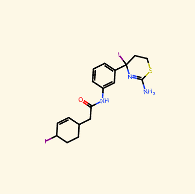 NC1=NC(I)(c2cccc(NC(=O)CC3C=CC(I)CC3)c2)CCS1